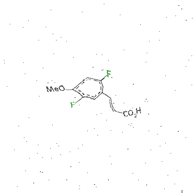 COc1cc(F)c(C=CC(=O)O)cc1F